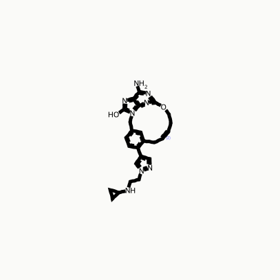 Nc1nc2nc3c1nc(O)n3Cc1ccc(-c3cnn(CCNC4CC4)c3)c(c1)C/C=C\CCO2